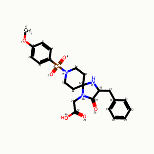 COc1ccc(S(=O)(=O)N2CCC3(CC2)NC(Cc2ccccc2)C(=O)N3CC(=O)O)cc1